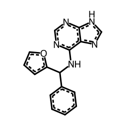 c1ccc(C(Nc2ncnc3[nH]cnc23)c2ccco2)cc1